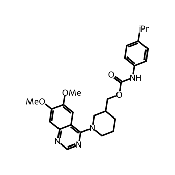 COc1cc2ncnc(N3CCCC(COC(=O)Nc4ccc(C(C)C)cc4)C3)c2cc1OC